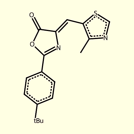 Cc1ncsc1C=C1N=C(c2ccc(C(C)(C)C)cc2)OC1=O